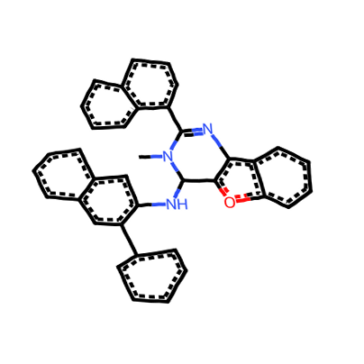 CN1C(c2cccc3ccccc23)=Nc2c(oc3ccccc23)C1Nc1cc2ccccc2cc1-c1ccccc1